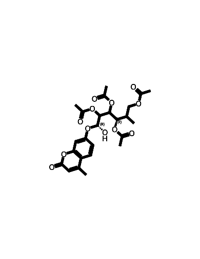 CC(=O)OCC(C)[C@@H](OC(C)=O)C(OC(C)=O)C(OC(C)=O)[C@H](O)Oc1ccc2c(C)cc(=O)oc2c1